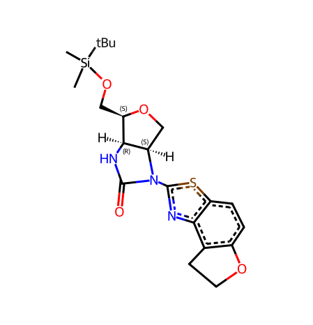 CC(C)(C)[Si](C)(C)OC[C@H]1OC[C@@H]2[C@H]1NC(=O)N2c1nc2c3c(ccc2s1)OCC3